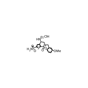 CCN[C@H]1CN(Cc2cccc(OC)c2)S(=O)(=O)c2sc(S(N)(=O)=O)cc21.Cl